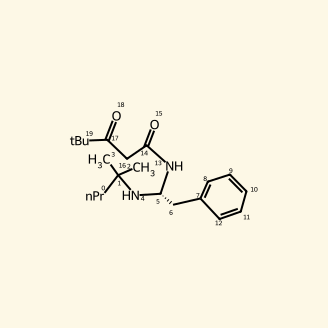 CCCC(C)(C)N[C@@H](Cc1ccccc1)NC(=O)CC(=O)C(C)(C)C